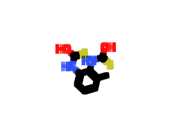 Cc1cccc(NC(O)=S)c1NC(O)=S